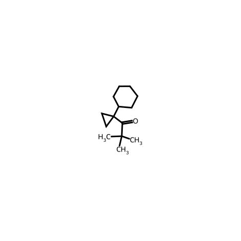 CC(C)(C)C(=O)C1(C2CCCCC2)CC1